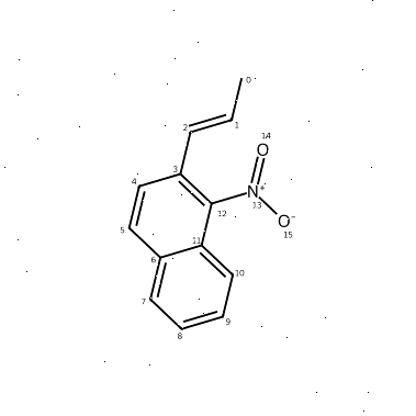 CC=Cc1ccc2ccccc2c1[N+](=O)[O-]